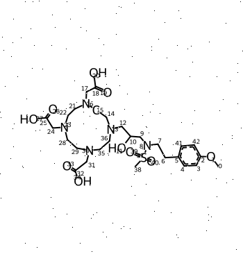 COc1ccc(CCN(CC(O)CN2CCN(CC(=O)O)CCN(CC(=O)O)CCN(CC(=O)O)CC2)S(C)(=O)=O)cc1